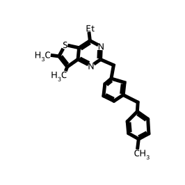 CCc1nc(Cc2cccc(Cc3ccc(C)cc3)c2)nc2c(C)c(C)sc12